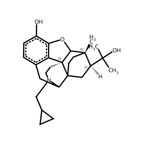 CC(C)(O)[C@H]1CC23CC[C@]1(C)C1Oc4c(O)ccc5c4[C@@]12CCN(CC1CC1)C3C5